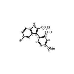 CCOC(=O)c1[nH]c2ccc(F)cc2c1-c1ccc(OC)cc1C=O